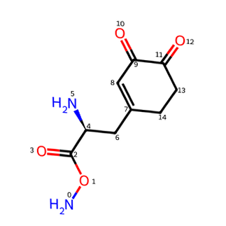 NOC(=O)[C@@H](N)CC1=CC(=O)C(=O)CC1